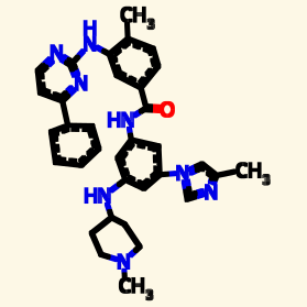 Cc1cn(-c2cc(NC(=O)c3ccc(C)c(Nc4nccc(-c5ccccc5)n4)c3)cc(NC3CCN(C)CC3)c2)cn1